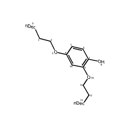 CCCCCCCCCCCCOc1ccc(O)c(OCCCCCCCCCCCC)c1